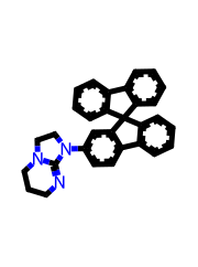 c1ccc2c(c1)-c1ccccc1C21c2ccccc2-c2ccc(N3CCN4CCCN=C43)cc21